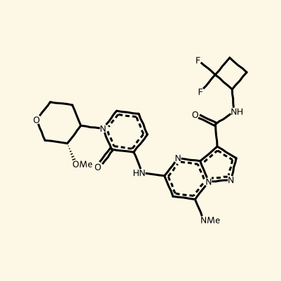 CNc1cc(Nc2cccn(C3CCOC[C@H]3OC)c2=O)nc2c(C(=O)NC3CCC3(F)F)cnn12